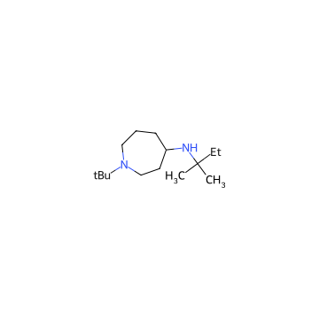 CCC(C)(C)NC1CCCN(C(C)(C)C)CC1